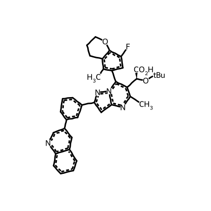 Cc1nc2cc(-c3cccc(-c4cnc5ccccc5c4)c3)nn2c(-c2cc(F)c3c(c2C)CCCO3)c1[C@H](OC(C)(C)C)C(=O)O